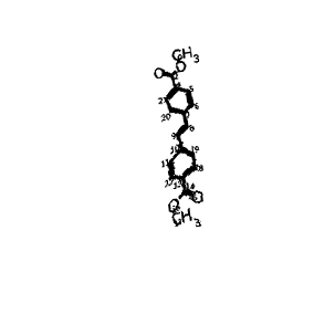 COC(=O)c1ccc(/C=C/c2ccc(C(=O)OC)cc2)cc1